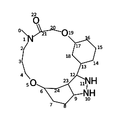 CN1CCCOC2CCC3NNC(C4CCCC(C4)OCC1=O)C3C2